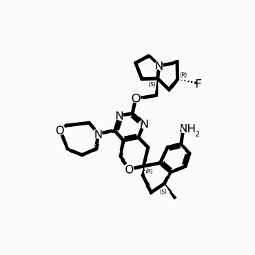 C[C@H]1CC[C@@]2(Cc3nc(OC[C@@]45CCCN4C[C@H](F)C5)nc(N4CCCOCC4)c3CO2)c2cc(N)ccc21